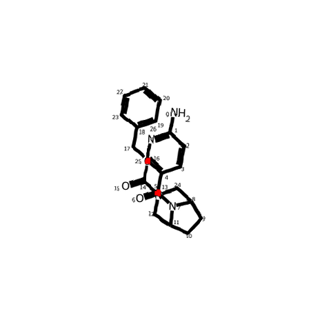 Nc1ccc(C(=O)N2C3CCC2CN(C(=O)OCc2ccccc2)C3)cn1